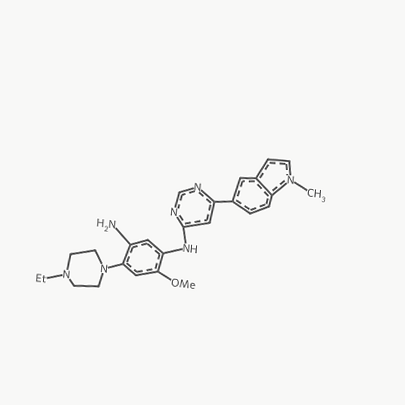 CCN1CCN(c2cc(OC)c(Nc3cc(-c4ccc5c(ccn5C)c4)ncn3)cc2N)CC1